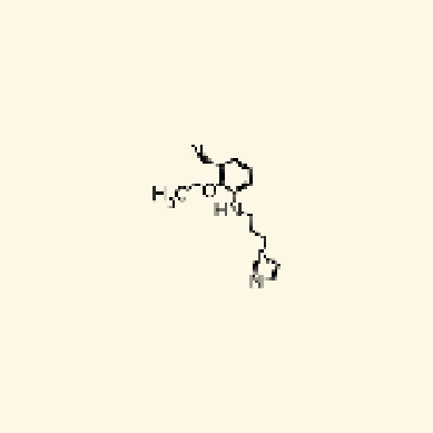 CCOc1c(C#N)cccc1NCCCn1ccnc1